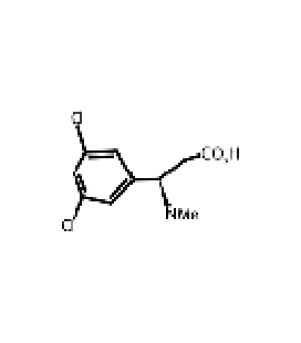 CN[C@H](CC(=O)O)c1cc(Cl)cc(Cl)c1